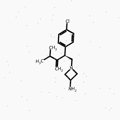 C=C(C(C)C)[C@H](CN1CC(N)C1)c1ccc(Cl)cc1